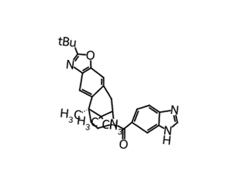 CC(C)(C)c1nc2cc3c(cc2o1)CC1N(C(=O)c2ccc4nc[nH]c4c2)CC[C@]3(C)C1(C)C